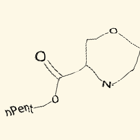 CCCCCOC(=O)C1COCC[N]1